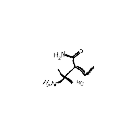 CC=C(C(N)=O)C(C)(C)N.Cl